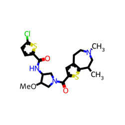 COC1CN(C(=O)c2cc3c(s2)C(C)CN(C)CC3)CC1NC(=O)c1ccc(Cl)s1